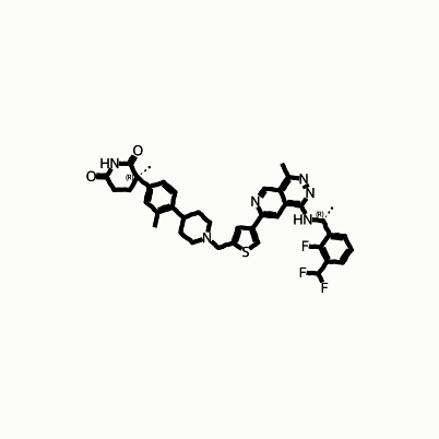 Cc1cc([C@@]2(C)CCC(=O)NC2=O)ccc1C1CCN(Cc2cc(-c3cc4c(N[C@H](C)c5cccc(C(F)F)c5F)nnc(C)c4cn3)cs2)CC1